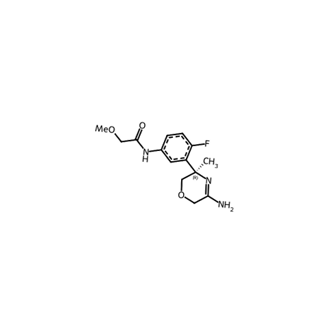 COCC(=O)Nc1ccc(F)c([C@]2(C)COCC(N)=N2)c1